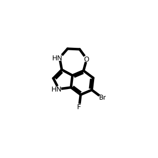 Fc1c(Br)cc2c3c(c[nH]c13)NCCO2